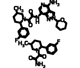 CC1CCC(c2cccc(F)c2)N(C(=O)C(=O)Nc2cnc(N)c3cn(C4CCCCO4)nc23)C1.CC1CCC(c2cccc(F)c2)N(C(=O)C(N)=O)C1